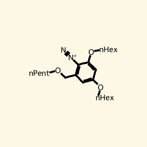 CCCCCCOc1cc(COCCCCC)c([N+]#N)c(OCCCCCC)c1